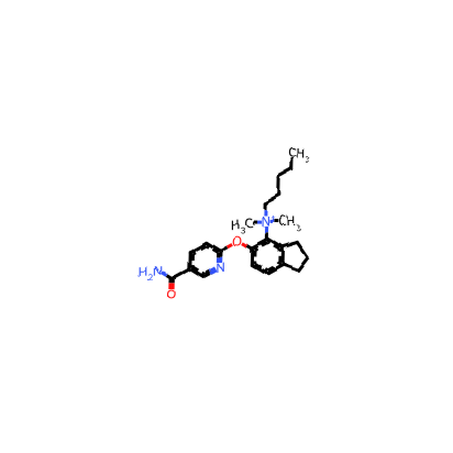 CCCCC[N+](C)(C)c1c(Oc2ccc(C(N)=O)cn2)ccc2c1CCC2